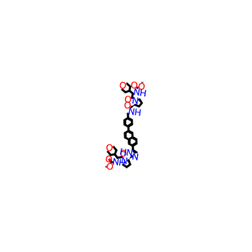 COC(=O)N[C@H](C(=O)N1CCC[C@H]1C(=O)NCc1ccc(-c2ccc3cc(-c4cnc([C@@H]5CCCN5C(=O)[C@@H](NC(=O)OC)C5CCOCC5)[nH]4)ccc3c2)cc1)C1CCOCC1